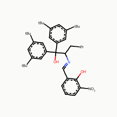 CC(C)CC(N=Cc1cccc([N+](=O)[O-])c1O)C(O)(c1cc(C(C)(C)C)cc(C(C)(C)C)c1)c1cc(C(C)(C)C)cc(C(C)(C)C)c1